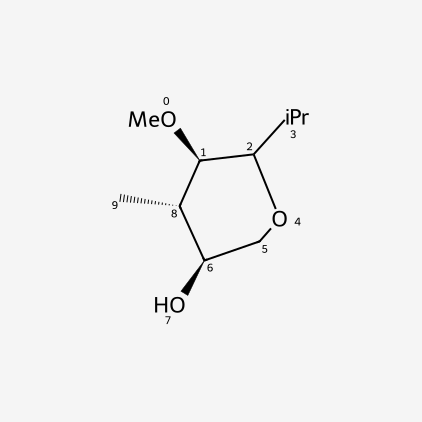 CO[C@H]1C(C(C)C)OC[C@@H](O)[C@@H]1C